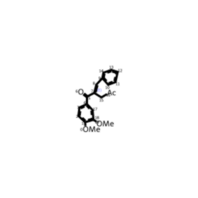 COc1ccc(C(=O)/C(=C/c2ccccc2)CC(C)=O)cc1OC